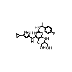 CC(Nc1nc(Nc2cc(C3CC3)n[nH]2)c(Cl)c(NC(CO)CO)n1)c1ccc(F)cc1